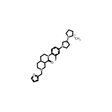 C[C@H]1CCCN1[C@H]1CCN(c2ccc(N3CCC4CCN(Cc5ccco5)CC4C3=O)c(F)c2)C1